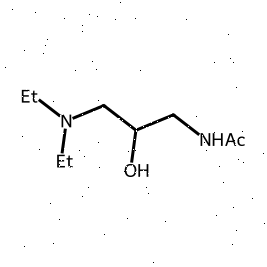 CCN(CC)CC(O)CNC(C)=O